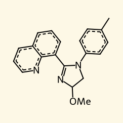 COC1CN(c2ccc(C)cc2)C(c2cccc3cccnc23)=N1